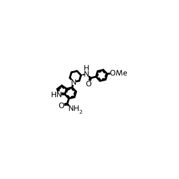 COc1ccc(C(=O)N[C@@H]2CCCN(c3ccc(C(N)=O)c4[nH]ccc34)C2)cc1